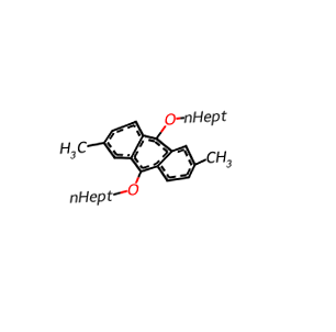 CCCCCCCOc1c2ccc(C)cc2c(OCCCCCCC)c2ccc(C)cc12